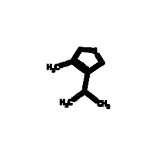 CC1=C(C(C)C)CSC1